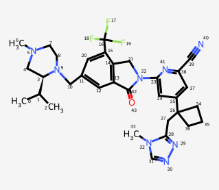 CC(C)[C@H]1CN(C)CCN1Cc1cc2c(c(C(F)(F)F)c1)CN(c1cc(C3(Cc4nncn4C)CCC3)cc(C#N)n1)C2=O